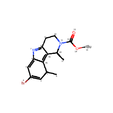 CC1C=C(Br)C=C2N=C3CCN(C(=O)OC(C)(C)C)C(C)C3=C21